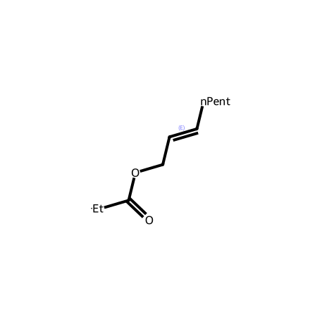 C[CH]C(=O)OC/C=C/CCCCC